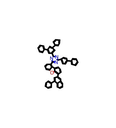 c1ccc(-c2ccc(-c3nc(-c4cc(-c5ccccc5)cc(-c5ccccc5)c4)nc(-c4cccc5oc6c(-c7cc(-c8ccccc8)c8ccccc8c7)cccc6c45)n3)cc2)cc1